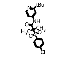 CC(C)(C)c1cc(NC(=O)C(C)(C)S(=O)(=O)c2ccc(Cl)cc2)ccn1